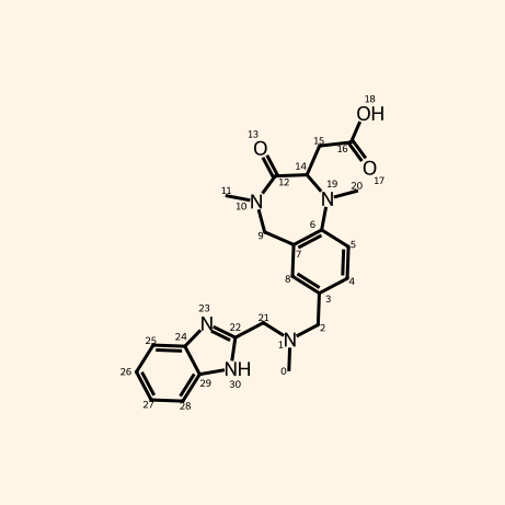 CN(Cc1ccc2c(c1)CN(C)C(=O)C(CC(=O)O)N2C)Cc1nc2ccccc2[nH]1